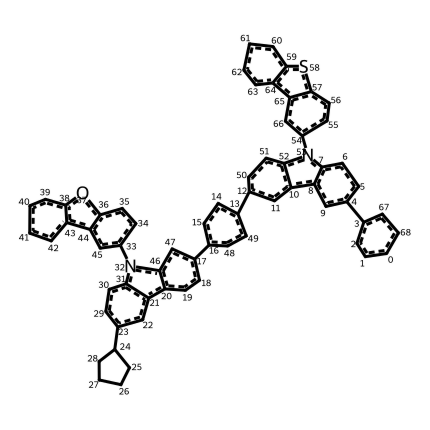 c1ccc(-c2ccc3c(c2)c2cc(-c4ccc(-c5ccc6c7cc(C8CCCC8)ccc7n(-c7ccc8oc9ccccc9c8c7)c6c5)cc4)ccc2n3-c2ccc3sc4ccccc4c3c2)cc1